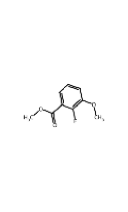 COC(=O)c1cccc(OC)c1F